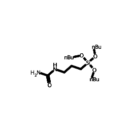 CCCCO[Si](CCCNC(N)=O)(OCCCC)OCCCC